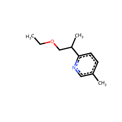 CCOCC(C)c1ccc(C)cn1